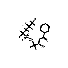 CC(C)(C)C(S)CC(=O)C1CCCCC1.O=S(=O)(O)C(F)(F)C(F)(F)C(F)(F)C(F)(F)F